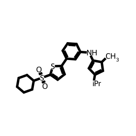 CC(C)C1=CC(C)C(Nc2cccc(-c3ccc(S(=O)(=O)C4CCCCC4)s3)c2)=C1